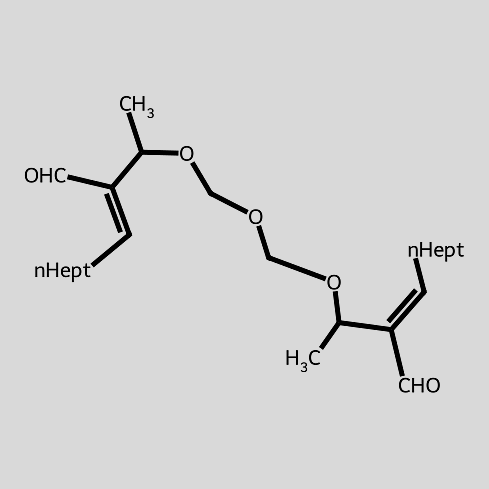 CCCCCCCC=C(C=O)C(C)OCOCOC(C)C(C=O)=CCCCCCCC